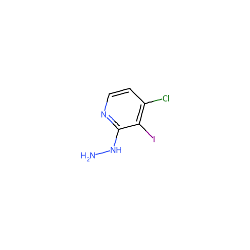 NNc1nccc(Cl)c1I